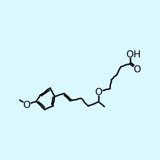 COc1ccc(C=CCCC(C)OCCCCC(=O)O)cc1